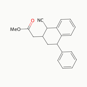 COC(=O)CC1CC(c2ccccc2)c2ccccc2C1C#N